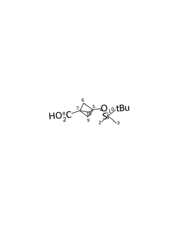 CC(C)(C)[Si](C)(C)OC12CC(C(=O)O)(C1)C2